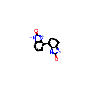 O=C1N=c2cccc(-c3cccc4c3[N]C(=O)N4)c2=N1